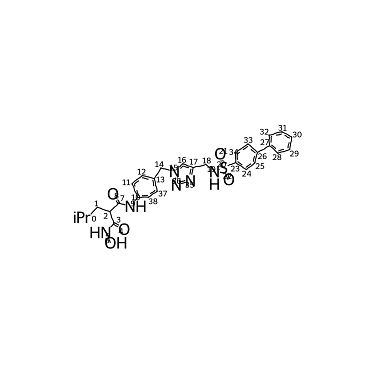 CC(C)CC(C(=O)NO)C(=O)Nc1ccc(Cn2cc(CNS(=O)(=O)c3ccc(-c4ccccc4)cc3)nn2)cc1